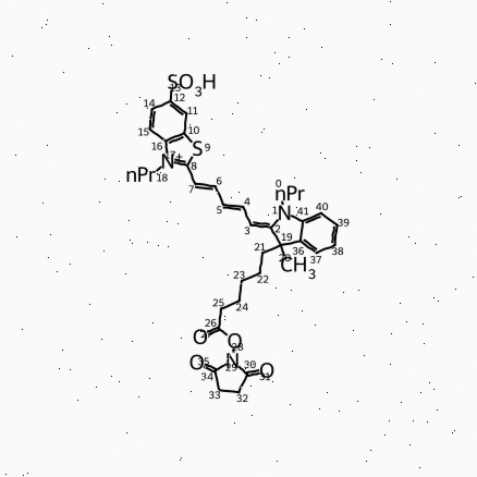 CCCN1\C(=C/C=C/C=C/c2sc3cc(S(=O)(=O)O)ccc3[n+]2CCC)C(C)(CCCCCC(=O)ON2C(=O)CCC2=O)c2ccccc21